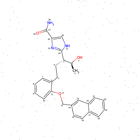 C[C@H](O)[C@H](CCc1ccccc1OCc1ccc2ccccc2c1)c1nc(C(N)=O)c[nH]1